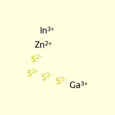 [Ga+3].[In+3].[S-2].[S-2].[S-2].[S-2].[Zn+2]